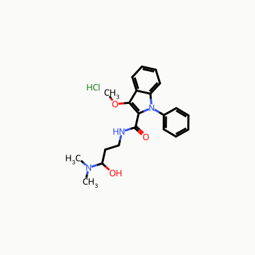 COc1c(C(=O)NCCC(O)N(C)C)n(-c2ccccc2)c2ccccc12.Cl